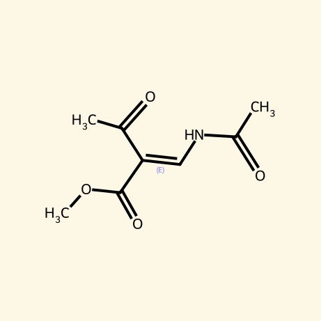 COC(=O)/C(=C/NC(C)=O)C(C)=O